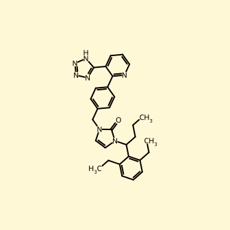 CCCC(c1c(CC)cccc1CC)n1ccn(Cc2ccc(-c3ncccc3-c3nnn[nH]3)cc2)c1=O